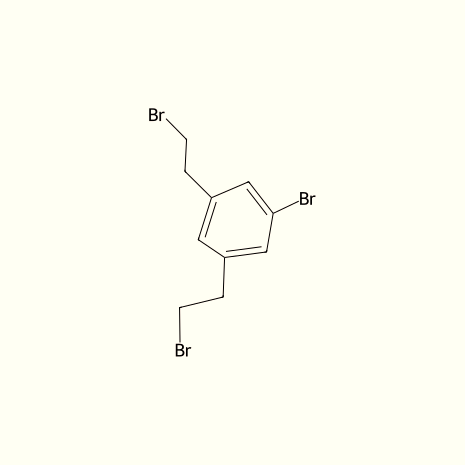 BrCCc1cc(Br)cc(CCBr)c1